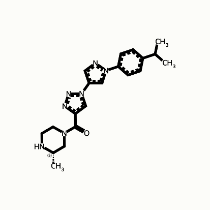 CC(C)c1ccc(-n2cc(-n3cc(C(=O)N4CCN[C@@H](C)C4)nn3)cn2)cc1